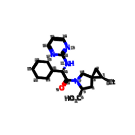 CC[C@@H]1C[C@]12C[C@@H](C(=O)O)N(C(=O)[C@@H](Nc1ncccn1)C1CCCCC1)C2